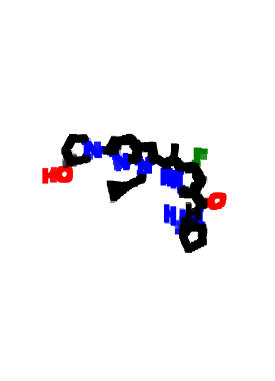 Cc1c(-c2cc3ccc(N4CCC[C@@H](O)C4)nc3n2CC2CC2)nn2cc(C(=O)N3CC4CCC3[C@@H]4N)cc(F)c12